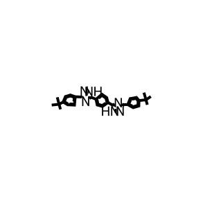 CC(C)(C)c1ccc(-c2n[nH]c(-c3ccc(-c4nc(-c5ccc(C(C)(C)C)cc5)n[nH]4)cc3)n2)cc1